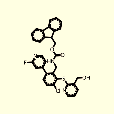 O=C(NCc1c(-c2ccnc(F)c2)ccc(Cl)c1Sc1ncccc1CO)OCC1c2ccccc2-c2ccccc21